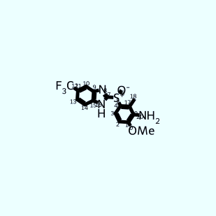 COc1ccc([S+]([O-])c2nc3cc(C(F)(F)F)ccc3[nH]2)c(C)c1N